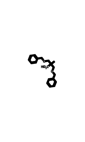 CC(COCc1ccccc1)(COCc1ccccc1)C(=O)O